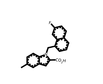 Cc1ccc2c(c1)cc(C(=O)O)n2Cc1cccc2ccc(F)cc12